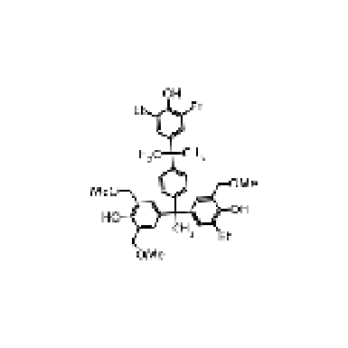 CCc1cc(C(C)(C)c2ccc(C(C)(c3cc(CC)c(O)c(COC)c3)c3cc(COC)c(O)c(COC)c3)cc2)cc(CC)c1O